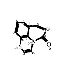 O=c1ncc2cccc3c2n1C=CS3